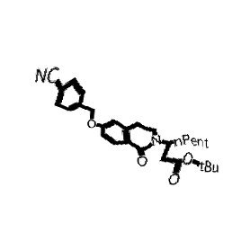 CCCCCC(CC(=O)OC(C)(C)C)N1CCc2cc(OCc3ccc(C#N)cc3)ccc2C1=O